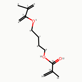 C=C(C)C(=C)OCCCCOC(=O)C(=C)C